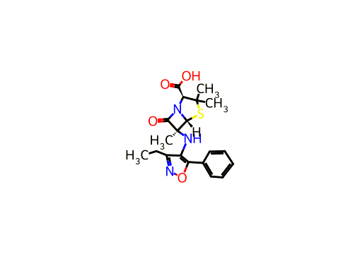 CCc1noc(-c2ccccc2)c1N[C@@]1(C)C(=O)N2[C@@H](C(=O)O)C(C)(C)S[C@@H]21